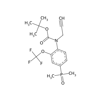 C#CCN(C(=O)OC(C)(C)C)c1ccc(P(C)(C)=O)cc1OC(F)(F)F